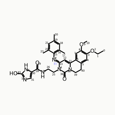 CCOc1cc2c(cc1OC)-c1c/c(=N\c3c(C)cc(C)cc3C)n(CCNC(=O)c3cnc(O)[nH]3)c(=O)n1CC2